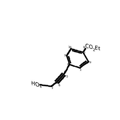 CCOC(=O)c1ccc(C#CCO)cc1